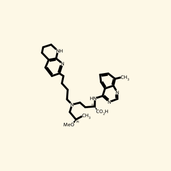 CO[C@H](C)CN(CCCCc1ccc2c(n1)NCCC2)CC[C@H](Nc1ncnc2c(C)cccc12)C(=O)O